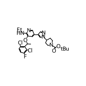 CCNc1ncc(-c2cnn(C3CCN(C(=O)OC(C)(C)C)CC3)c2)cc1OC(C)c1c(Cl)ccc(F)c1Cl